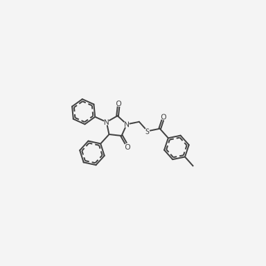 Cc1ccc(C(=O)SCN2C(=O)C(c3ccccc3)N(c3ccccc3)C2=O)cc1